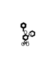 O=[N+]([O-])C1=CC=C(OCc2ccccc2)C(N2CCCCC2)C1